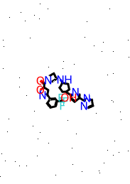 O=C(C1CC(c2cccc(C(F)(F)F)c2)=NO1)N1CCC(NC2CCC(O)(c3ccc(-c4ncccn4)cn3)CC2)C1